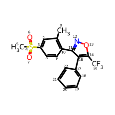 Cc1cc(S(C)(=O)=O)ccc1-c1noc(C(F)(F)F)c1-c1ccccc1